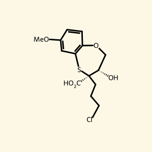 COc1ccc2c(c1)S[C@@](CCCCl)(C(=O)O)[C@@H](O)CO2